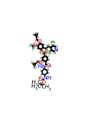 CC(C)(C)OC(=O)NC1CCC(NC(=O)c2ccc(C(=O)OC(Cc3c(Cl)cncc3Cl)c3ccc(OC(F)F)c(OCC4CC4)c3)cc2OCC2CC2)CC1